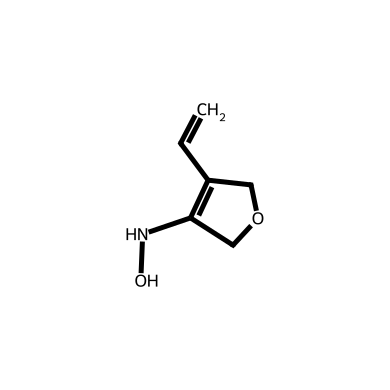 C=CC1=C(NO)COC1